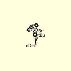 CCCCCCCCCCCCCCOc1ccc(CC(=O)Nc2ccccc2Cn2cc3cccc[n+]3c2)cc1C(C)(C)C.[Br-]